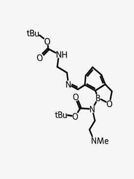 CNCCN(B1OCc2cccc(/C=N\CCNC(=O)OC(C)(C)C)c21)C(=O)OC(C)(C)C